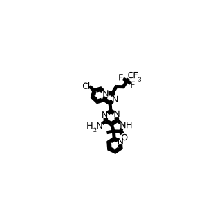 CC1(c2ccccn2)C(=O)Nc2nc(-c3nc(CCC(F)(F)C(F)(F)F)n4cc(Cl)ccc34)nc(N)c21